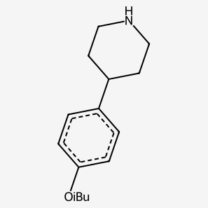 CC(C)COc1ccc(C2CCNCC2)cc1